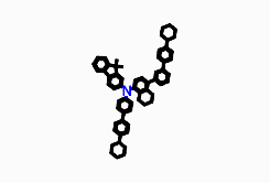 CC1(C)c2ccccc2-c2ccc(N(c3ccc(-c4ccc(C5CCCCC5)cc4)cc3)c3ccc(-c4cccc(-c5ccc(C6CCCCC6)cc5)c4)c4c3CCCC4)cc21